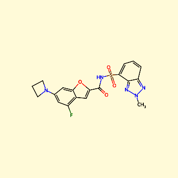 Cn1nc2cccc(S(=O)(=O)NC(=O)c3cc4c(F)cc(N5CCC5)cc4o3)c2n1